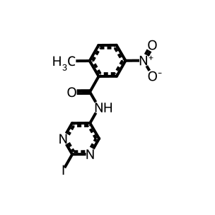 Cc1ccc([N+](=O)[O-])cc1C(=O)Nc1cnc(I)nc1